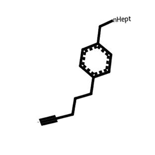 [C]#CCCCc1ccc(CCCCCCCC)cc1